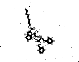 CCCCCCCCOC(=O)[C@@H]1C[C@@H]2CCC[C@@H]2N1C(=O)[C@H](C)N[C@@H](CCc1ccccc1)C(=O)OCc1ccccc1